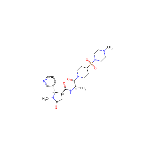 C[C@H](NC(=O)[C@H]1CC(=O)N(C)[C@@H]1c1cccnc1)C(=O)N1CCC(S(=O)(=O)N2CCN(C)CC2)CC1